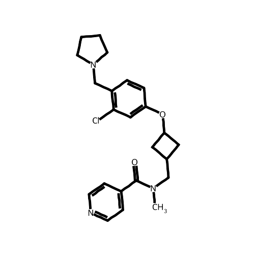 CN(CC1CC(Oc2ccc(CN3CCCC3)c(Cl)c2)C1)C(=O)c1ccncc1